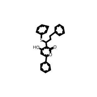 O=c1oc(-c2ccccc2)cc(O)c1C(CCc1ccccc1)Sc1ccccc1